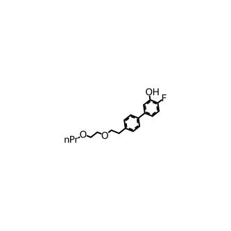 CCCOCCOCCc1ccc(-c2ccc(F)c(O)c2)cc1